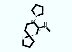 CN[C@H]1C[C@@]2(CCCO2)CC[C@@H]1N1CCCC1